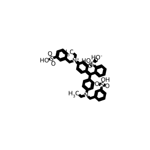 CCN(Cc1cccc(S(=O)(=O)O)c1)c1ccc(C(=C2C=CC(=[N+](CC)Cc3cccc(S(=O)(=O)O)c3)C=C2)c2ccccc2S(=O)(=O)O)cc1.[OH-]